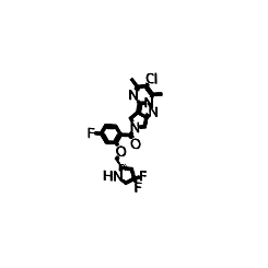 Cc1nc2c3c(nn2c(C)c1Cl)CN(C(=O)c1ccc(F)cc1OC[C@H]1CC(F)(F)CN1)C3